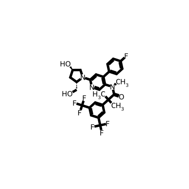 CN(C(=O)C(C)(C)c1cc(C(F)(F)F)cc(C(F)(F)F)c1)c1cnc(N2C[C@H](O)C[C@H]2CO)cc1-c1ccc(F)cc1